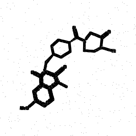 CCN1CCN(C(=O)[C@H]2CC[C@H](Cn3c(=O)c4cc(OC)ccc4n(C)c3=O)CC2)CC1=O